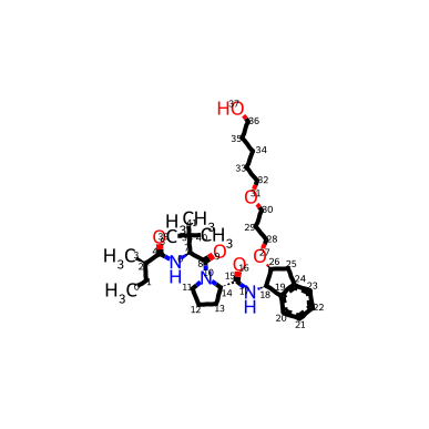 CC[C@@H](C)C(=O)N[C@H](C(=O)N1CCC[C@H]1C(=O)N[C@H]1c2ccccc2C[C@H]1OCCCOCCCCCO)C(C)(C)C